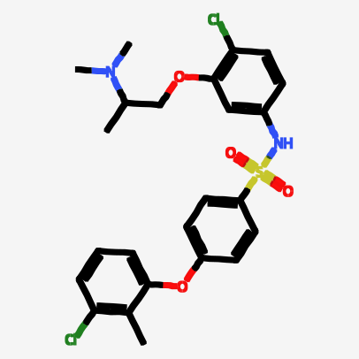 Cc1c(Cl)cccc1Oc1ccc(S(=O)(=O)Nc2ccc(Cl)c(OCC(C)N(C)C)c2)cc1